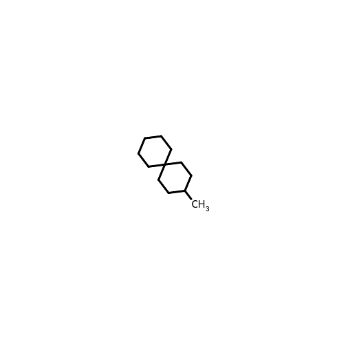 CC1CCC2(CCCCC2)CC1